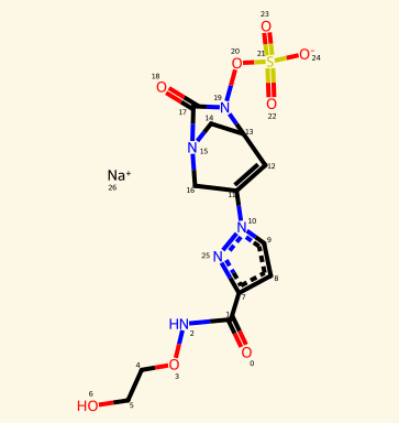 O=C(NOCCO)c1ccn(C2=CC3CN(C2)C(=O)N3OS(=O)(=O)[O-])n1.[Na+]